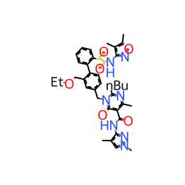 CCCCc1nc(C)c(C(=O)Nc2nn(C)cc2C)c(=O)n1Cc1ccc(-c2ccccc2S(=O)(=O)Nc2noc(C)c2C)c(COCC)c1